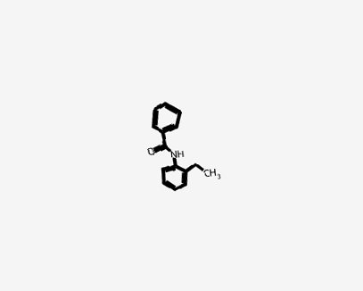 CCc1ccccc1NC(=O)c1ccccc1